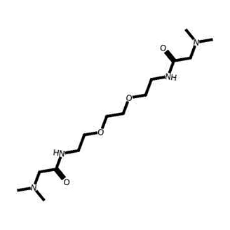 CN(C)CC(=O)NCCOCCOCCNC(=O)CN(C)C